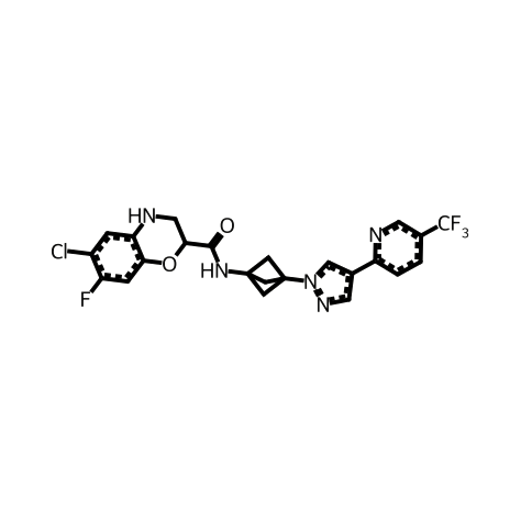 O=C(NC12CC(n3cc(-c4ccc(C(F)(F)F)cn4)cn3)(C1)C2)C1CNc2cc(Cl)c(F)cc2O1